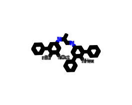 CCCCCCCCc1cc(N=C(C)C=Nc2cc(-c3ccccc3)c(CCCCCC)c(-c3ccccc3)c2)cc(-c2ccccc2)c1CCCC